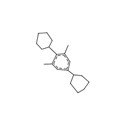 Cc1cc(C2CCCCC2)cc(C)c1C1CCCCC1